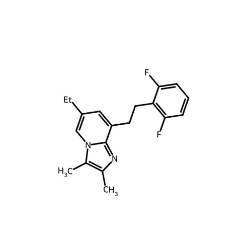 CCc1cc(CCc2c(F)cccc2F)c2nc(C)c(C)n2c1